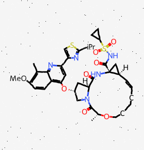 COc1ccc2c(O[C@@H]3C[C@H]4C(=O)N[C@]5(C(=O)NS(=O)(=O)C6CC6)C[C@H]5/C=C\CCCCO[C@H](C)C(=O)N4C3)cc(-c3csc(C(C)C)n3)nc2c1C